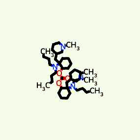 CCCCN(CCCC)C1(CC2CCCN(C)C2)CCCCC1OC(=O)OC1CCCCC1(CC1CCCN(C)C1)N(CCCC)CCCC